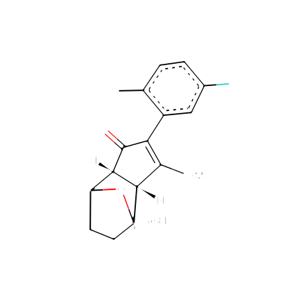 COC1=C(c2cc(F)ccc2C)C(=O)[C@@H]2[C@H]1[C@H]1CC[C@@H]2O1